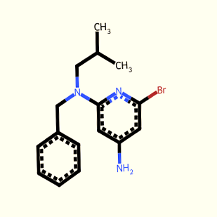 CC(C)CN(Cc1ccccc1)c1cc(N)cc(Br)n1